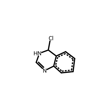 ClC1NC=Nc2ccccc21